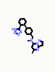 Cc1cc(N(C)Cc2ccc(-c3ccccc3-c3nnn[nH]3)cc2)n2nccc2n1